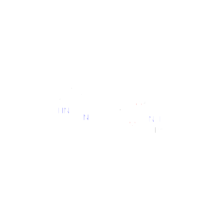 CC(C)NC(=O)OC1CCC(c2cnc3[nH]ccc3c2)C1